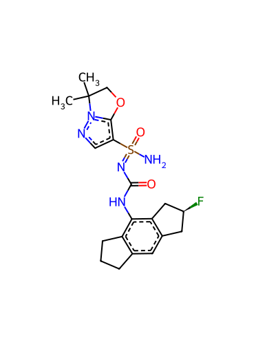 CC1(C)COc2c(S(N)(=O)=NC(=O)Nc3c4c(cc5c3C[C@@H](F)C5)CCC4)cnn21